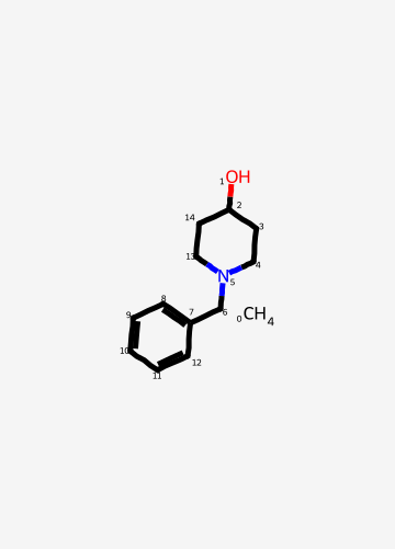 C.OC1CCN(Cc2ccccc2)CC1